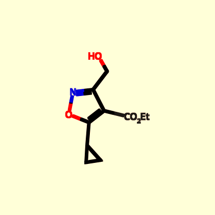 CCOC(=O)c1c(CO)noc1C1CC1